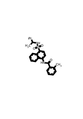 Cc1ccccc1C(=O)Nc1ccc(S(=O)(=O)NC(C)C(C)C)c2ccccc12